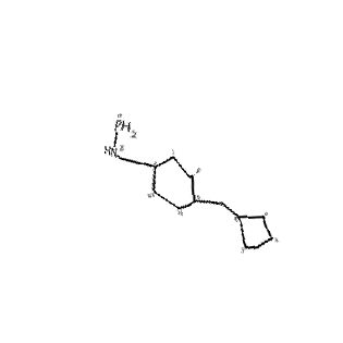 PNC1CCC(C2CCC2)CC1